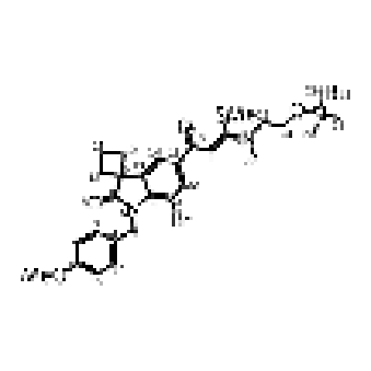 COc1ccc(CN2C(=O)C3(CCC3)c3cc(C(=O)/C=C(\SC)N(C)CCO[Si](C)(C)C(C)(C)C)cc(Br)c32)cc1